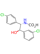 O=C(O)N[C@@H](c1ccc(Cl)cc1)[C@H](O)c1cccc(Cl)c1